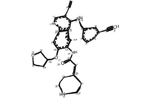 C#Cc1cccc(Nc2c(C#N)cnc3cc(OC4CCOC4)c(NC(=O)C=C4CCNCC4)cc23)c1